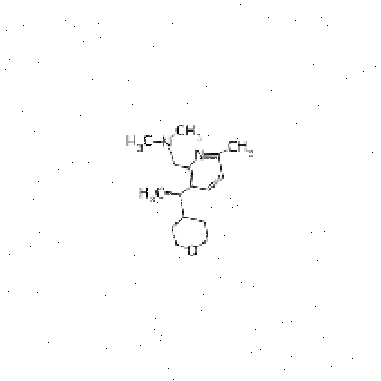 Cc1ccc([C@H](C)C2CCOCC2)c(CN(C)C)n1